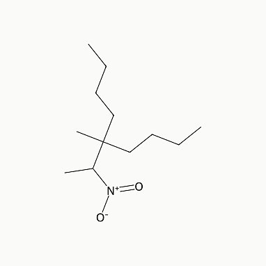 CCCCC(C)(CCCC)C(C)[N+](=O)[O-]